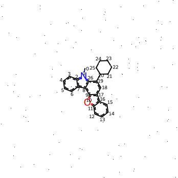 Cn1c2ccccc2c2c3oc4ccccc4c3cc(C3CCCCC3)c21